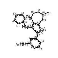 CC(=O)Nc1cc(-c2[nH]c3c(c2Nc2ccccc2)C(=O)CC[C@@H](C)C3)ccn1